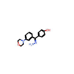 NN=C(c1ccc(O)cc1)c1cccc(N2CCOCC2)c1